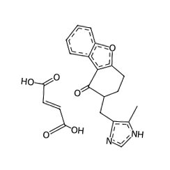 Cc1[nH]cnc1CC1CCc2oc3ccccc3c2C1=O.O=C(O)C=CC(=O)O